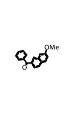 COc1ccc2ccc(C(=O)c3ccccc3)cc2c1